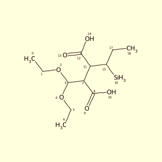 CCOC(OCC)C(C(=O)O)C(C(=O)O)C([SiH3])CC